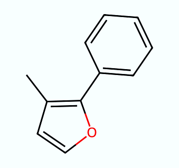 Cc1ccoc1-c1ccccc1